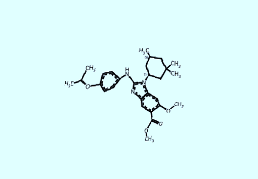 COC(=O)c1cc2nc(Nc3ccc(OC(C)C)cc3)n([C@H]3C[C@@H](C)CC(C)(C)C3)c2cc1OC